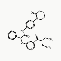 CCN(CC)C(=O)c1cccc(OC(C(=O)Nc2ccc(N3CCCCC3=O)cc2)c2ccccc2)c1